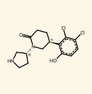 O=C1CC[C@@H](c2c(O)ccc(Cl)c2Cl)CN1[C@@H]1CCNC1